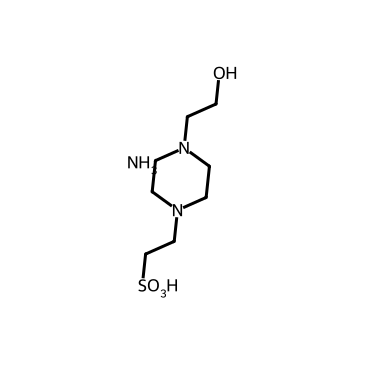 N.O=S(=O)(O)CCN1CCN(CCO)CC1